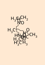 C=C(C)C(=O)NCCC(C)(CCCNC(=O)C(C)C)CCNC(=O)C(C)(C)CC